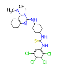 CN(C)c1nc(NC2CCC(NC(=S)Nc3cc(Cl)c(Cl)c(Cl)c3Cl)CC2)nc2c1CCCC2